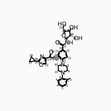 Cc1ccccc1N1CCN(c2ccc(C(=O)N[C@H]3O[C@@H](CO)[C@H](O)[C@@H]3O)cc2NC(=O)c2coc(C3CC3)n2)CC1